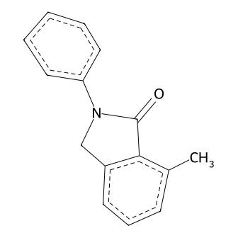 Cc1cccc2c1C(=O)N(c1ccccc1)C2